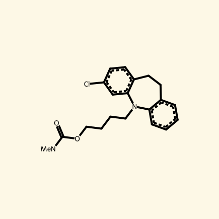 CNC(=O)OCCCCN1c2ccccc2CCc2ccc(Cl)cc21